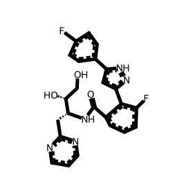 O=C(N[C@H](Cc1ncccn1)[C@H](O)CO)c1cccc(F)c1-c1cc(-c2ccc(F)cc2)[nH]n1